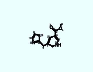 COC(=O)C1=CNCC(Cc2nccs2)=C1